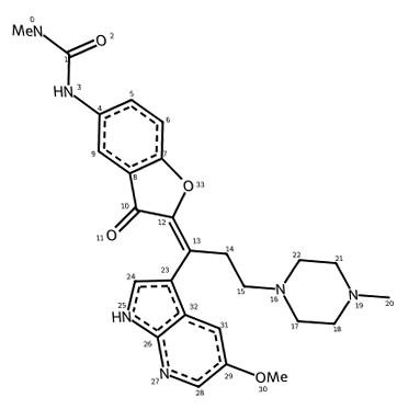 CNC(=O)Nc1ccc2c(c1)C(=O)C(=C(CCN1CCN(C)CC1)c1c[nH]c3ncc(OC)cc13)O2